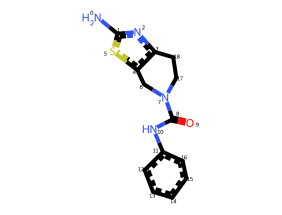 Nc1nc2c(s1)CN(C(=O)Nc1ccccc1)CC2